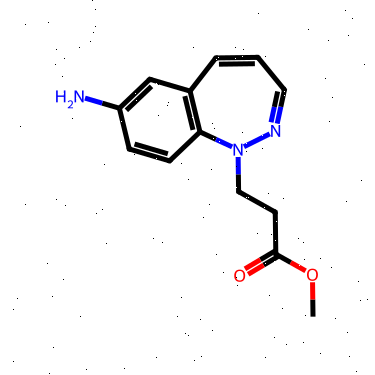 COC(=O)CCN1N=CC=Cc2cc(N)ccc21